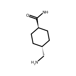 [NH]C(=O)[C@H]1CC[C@H](CN)CC1